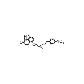 Cc1ccc(OCCN(C)CCCc2ccc([N+](=O)[O-])cc2)c2c1NC(=O)CC2